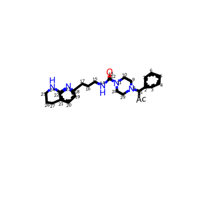 CC(=O)C(c1ccccc1)N1CCN(C(=O)NCCCc2ccc3c(n2)NCCC3)CC1